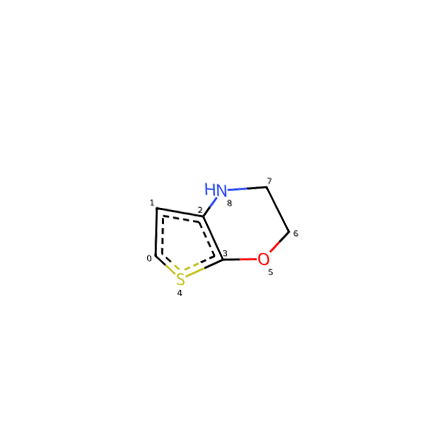 c1cc2c(s1)OCCN2